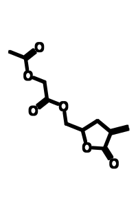 C=C1CC(COC(=O)COC(C)=O)OC1=O